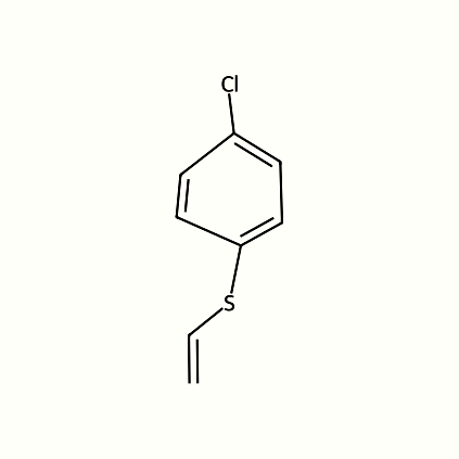 C=CSc1ccc(Cl)cc1